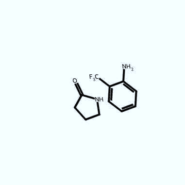 Nc1ccccc1C(F)(F)F.O=C1CCCN1